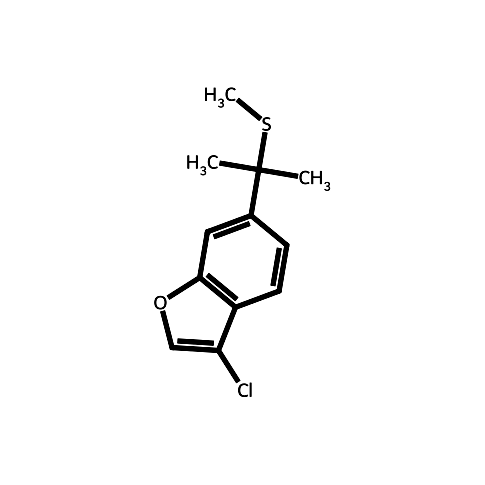 CSC(C)(C)c1ccc2c(Cl)coc2c1